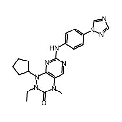 CCN1C(=O)N(C)c2cnc(Nc3ccc(-n4cncn4)cc3)nc2N1C1CCCC1